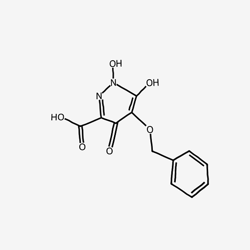 O=C(O)c1nn(O)c(O)c(OCc2ccccc2)c1=O